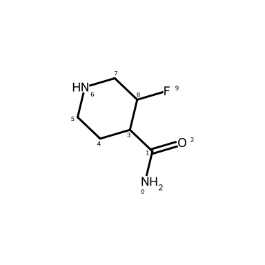 NC(=O)C1CCNCC1F